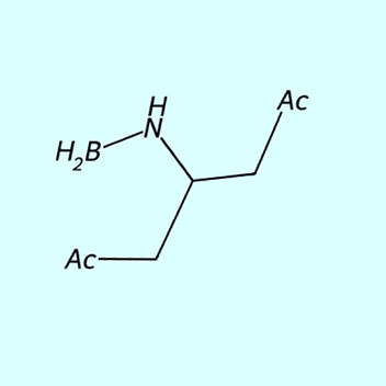 BNC(CC(C)=O)CC(C)=O